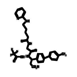 O=C(O)C(F)(F)F.O=C(O)CC(NC(=O)CNC(=O)CCCCNc1ccccn1)c1ccc(-c2ccc(C(F)(F)F)cc2)cc1